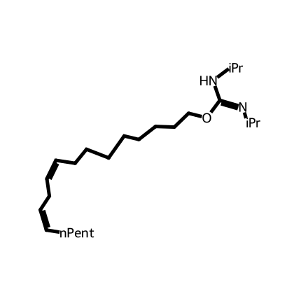 CCCCC/C=C\C/C=C\CCCCCCCCO/C(=N\C(C)C)NC(C)C